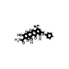 CN(C)c1cc(CNC2CCCCC2)c(O)c2c1C[C@H]1C[C@H]3CC(O)=C(C(N)=O)C(=O)[C@@]3(O)C(O)=C1C2=O